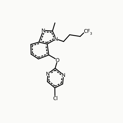 Cc1nc2cccc(Oc3ncc(Cl)cn3)c2n1CCCC(F)(F)F